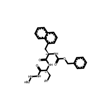 CCCCNNC(=O)[C@H](CC(C)C)NC(=O)[C@@H](Cc1cccc2ccccc12)NC(=O)OCc1ccccc1